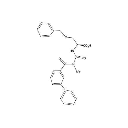 CCCN(C(=O)N[C@@H](COCc1ccccc1)C(=O)O)C(=O)c1cccc(-c2ccccc2)c1